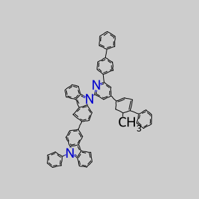 CC1CC(c2cc(-c3ccc(-c4ccccc4)cc3)nc(-n3c4ccccc4c4cc(-c5ccc6c(c5)c5ccccc5n6-c5ccccc5)ccc43)c2)=CC=C1c1ccccc1